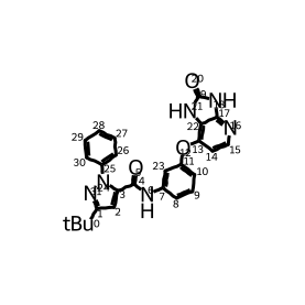 CC(C)(C)c1cc(C(=O)Nc2cccc(Oc3ccnc4[nH]c(=O)[nH]c34)c2)n(-c2ccccc2)n1